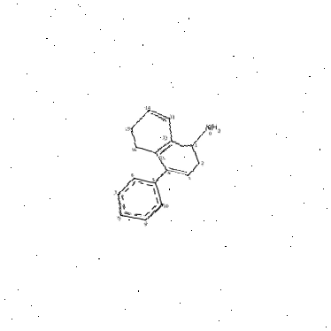 NC1CC=C(c2ccccc2)C2=C1C=CCC2